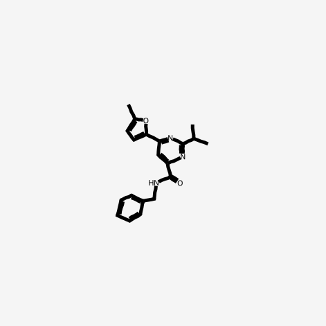 Cc1ccc(-c2cc(C(=O)NCc3ccccc3)nc(C(C)C)n2)o1